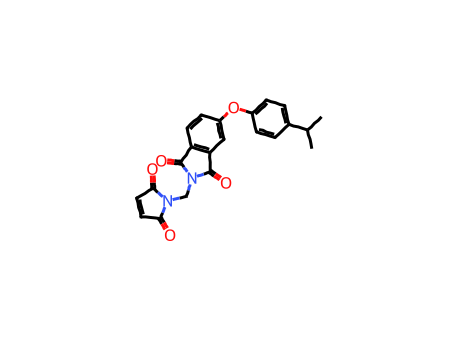 CC(C)c1ccc(Oc2ccc3c(c2)C(=O)N(CN2C(=O)C=CC2=O)C3=O)cc1